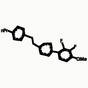 CCCc1ccc(CCc2ccc(-c3ccc(OC)c(F)c3F)cc2)cc1